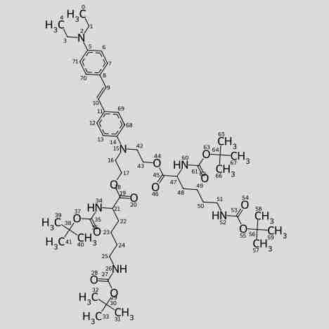 CCN(CC)c1ccc(/C=C/c2ccc(N(CCOC(=O)C(CCCCNC(=O)OC(C)(C)C)NC(=O)OC(C)(C)C)CCOC(=O)C(CCCCNC(=O)OC(C)(C)C)NC(=O)OC(C)(C)C)cc2)cc1